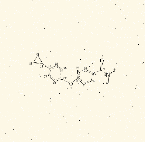 CN(C)C(=O)c1ccc(Oc2ccc(C3CC3)cc2)nc1